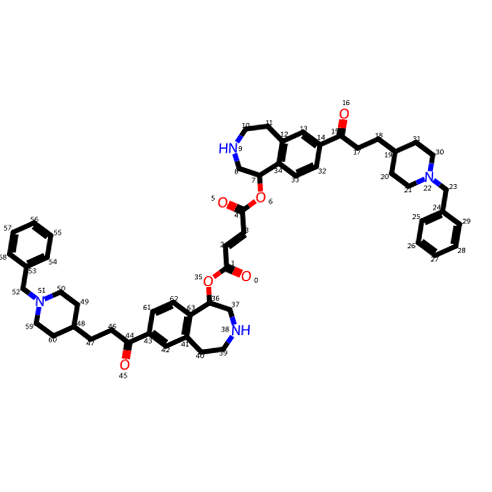 O=C(/C=C/C(=O)OC1CNCCc2cc(C(=O)CCC3CCN(Cc4ccccc4)CC3)ccc21)OC1CNCCc2cc(C(=O)CCC3CCN(Cc4ccccc4)CC3)ccc21